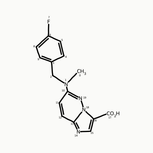 CN(Cc1ccc(F)cc1)c1ccc2ncc(C(=O)O)n2n1